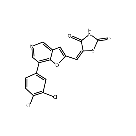 O=C1NC(=O)/C(=C\c2cc3cncc(-c4ccc(Cl)c(Cl)c4)c3o2)S1